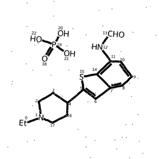 CCN1CCC(c2cc3cccc(NC=O)c3s2)CC1.O=P(O)(O)O